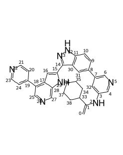 C=C(Nc1cncc(-c2ccc3[nH]nc(-c4cc5c(-c6ccncc6)cncc5[nH]4)c3c2)c1)C1CCCCC1